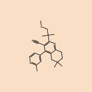 COCC(C)(C)c1nc2c(c(-c3ccnc(C)c3)c1C#N)CC(C)(C)CC2